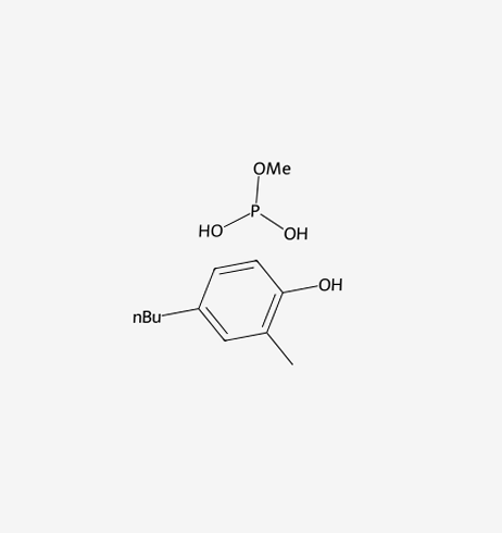 CCCCc1ccc(O)c(C)c1.COP(O)O